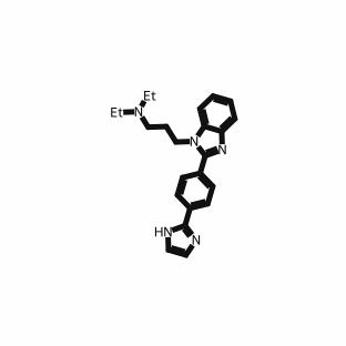 CCN(CC)CCCn1c(-c2ccc(-c3ncc[nH]3)cc2)nc2ccccc21